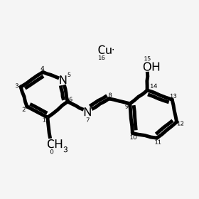 Cc1cccnc1N=Cc1ccccc1O.[Cu]